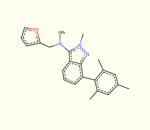 CCCN(Cc1ccco1)c1c2cccc(-c3c(C)cc(C)cc3C)c2nn1C